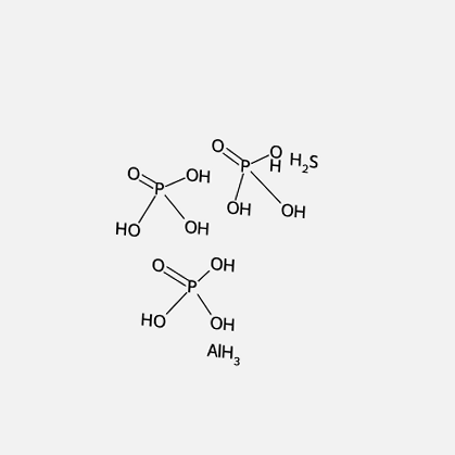 O=P(O)(O)O.O=P(O)(O)O.O=P(O)(O)O.S.[AlH3]